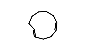 C1=C\CCCCC/C=C/CC/1